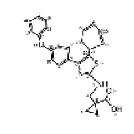 OC(O)C1(CNc2nc(-c3ccc(Oc4ccccc4)cc3)c(C3C=NC=CC3)s2)CC1